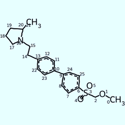 COCS(=O)(=O)c1ccc(-c2ccc(CCN3CCCC3C)cc2)cc1